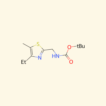 CCc1nc(CNC(=O)OC(C)(C)C)sc1C